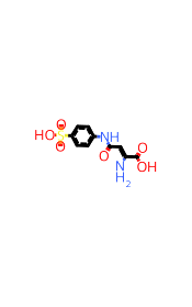 N/C(=C\C(=O)Nc1ccc(S(=O)(=O)O)cc1)C(=O)O